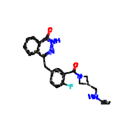 CC(C)(C)NCC1CN(C(=O)c2cc(Cc3n[nH]c(=O)c4ccccc34)ccc2F)C1